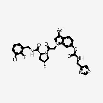 CC(=O)c1cn(CC(=O)N2C[C@H](F)C[C@H]2C(=O)NCc2cccc(Cl)c2F)c2cc(OC(=O)NCc3cscn3)ccc12